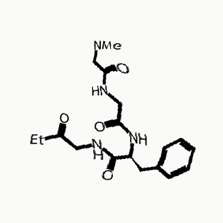 CCC(=O)CNC(=O)[C@H](Cc1ccccc1)NC(=O)CNC(=O)CNC